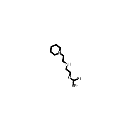 CCCC(CC)OCCNCCN1CCCCC1